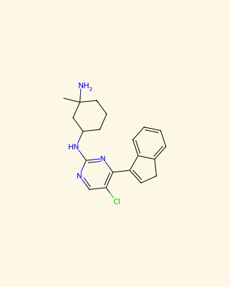 CC1(N)CCCC(Nc2ncc(Cl)c(C3=CCc4ccccc43)n2)C1